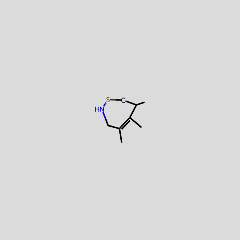 CC1=C(C)C(C)CSNC1